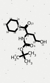 CC(C)(C)OC(=O)NC(CCO)C(=O)N1CCCCC1